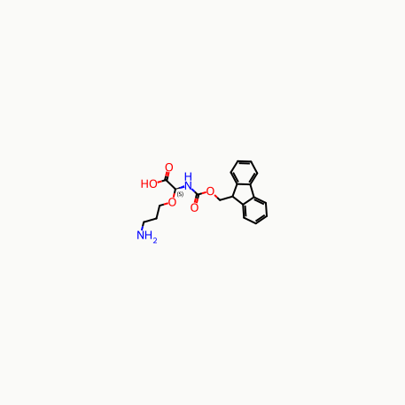 NCCCO[C@H](NC(=O)OCC1c2ccccc2-c2ccccc21)C(=O)O